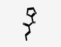 CC=CC(=O)Nc1nccs1